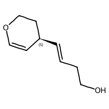 OCCC=C[C@H]1C=COCC1